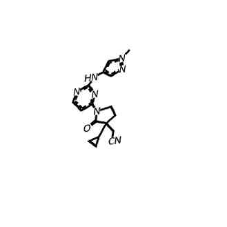 Cn1cc(Nc2nccc(N3CCC(CC#N)(C4CC4)C3=O)n2)cn1